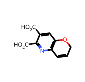 O=C(O)c1cc2c(nc1C(=O)O)C=CCO2